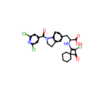 O=C(O)C(Cc1ccc2c(c1)CCN2C(=O)c1cc(Cl)nc(Cl)c1)NC1=C(Cl)C(=O)C12CCCCC2